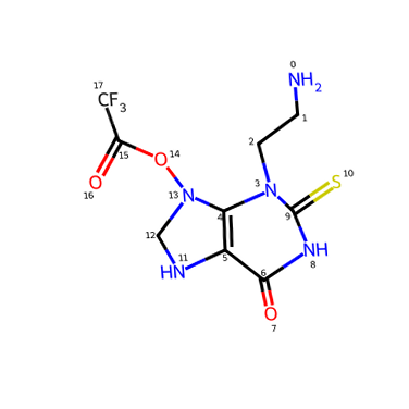 NCCn1c2c(c(=O)[nH]c1=S)NCN2OC(=O)C(F)(F)F